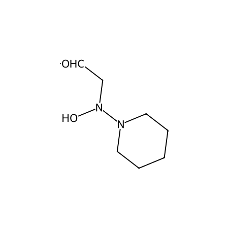 O=[C]CN(O)N1CCCCC1